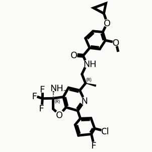 COc1cc(C(=O)NC[C@@H](C)c2cc3c(c(-c4ccc(F)c(Cl)c4)n2)OC[C@@]3(N)C(F)(F)F)ccc1OC1CC1